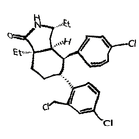 CC[C@H]1NC(=O)[C@]2(CC)CC[C@@H](c3ccc(Cl)cc3Cl)[C@H](c3ccc(Cl)cc3)[C@H]12